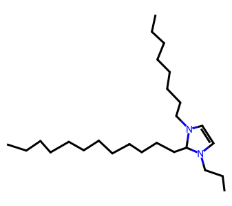 CCCCCCCCCCCCC1N(CCC)C=CN1CCCCCCCC